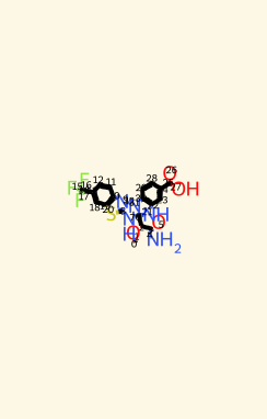 COC(C(N)=O)C1(Nc2nc3ccc(C(F)(F)F)cc3s2)Nc2cc(C(=O)O)ccc2N1C